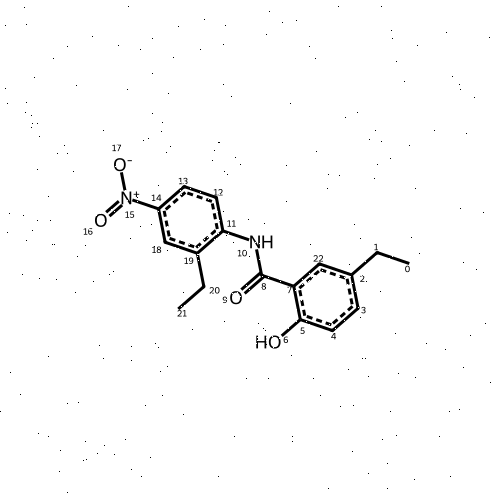 CCc1ccc(O)c(C(=O)Nc2ccc([N+](=O)[O-])cc2CC)c1